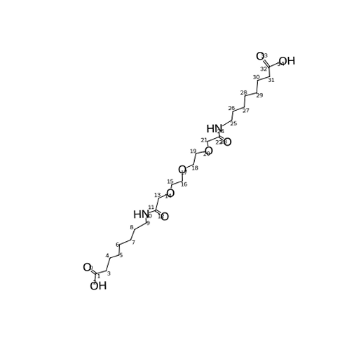 O=C(O)CCCCCCCNC(=O)COCCOCCOCC(=O)NCCCCCCCC(=O)O